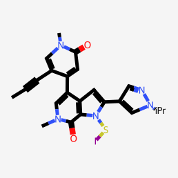 CC#Cc1cn(C)c(=O)cc1-c1cn(C)c(=O)c2c1cc(-c1cnn(C(C)C)c1)n2SI